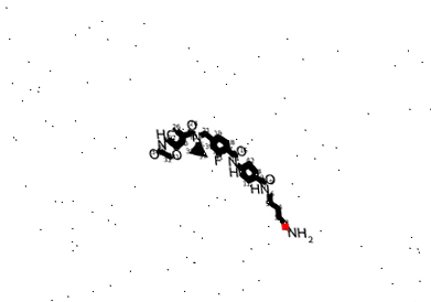 NCCCCCCNC(=O)c1ccc(NC(=O)c2ccc(CN(C(=O)c3ccc4c(c3)OCC(=O)N4)C3CC3)cc2F)cc1